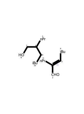 CCC/C(C=O)=C\C(C)CC.CCCC(CO)CC(C)CC